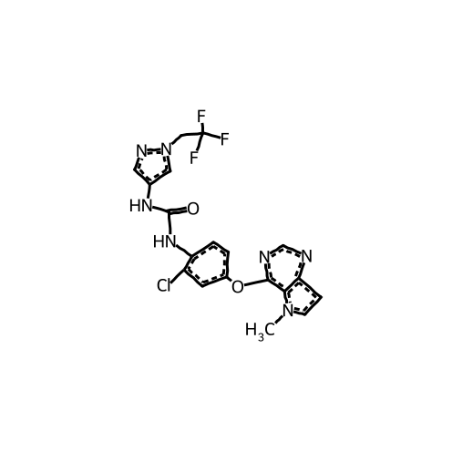 Cn1ccc2ncnc(Oc3ccc(NC(=O)Nc4cnn(CC(F)(F)F)c4)c(Cl)c3)c21